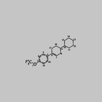 FC(F)(F)Oc1ccc(C2=CCC(C3CCCCC3)CC2)cc1